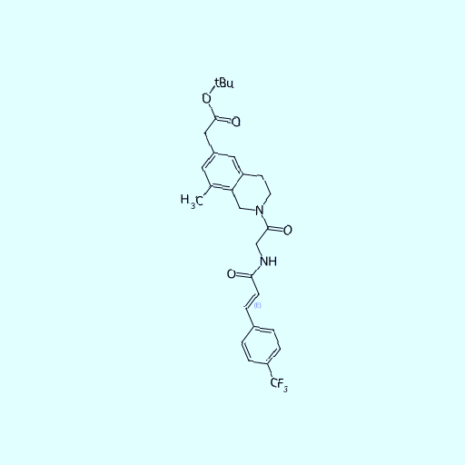 Cc1cc(CC(=O)OC(C)(C)C)cc2c1CN(C(=O)CNC(=O)/C=C/c1ccc(C(F)(F)F)cc1)CC2